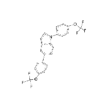 FC(F)(F)Oc1ccc(-c2ccc3c(ccn3-c3ccc(OC(F)(F)F)cc3)c2)cc1